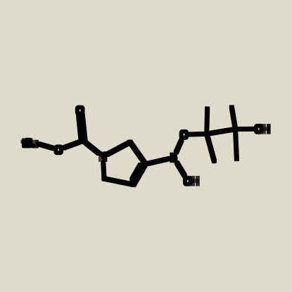 CC(C)(C)OC(=O)N1CC=C(B(O)OC(C)(C)C(C)(C)O)C1